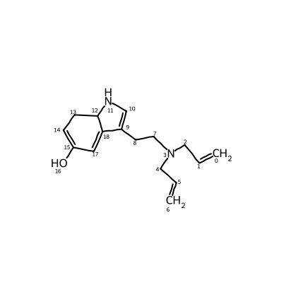 C=CCN(CC=C)CCC1=CNC2CC=C(O)C=C12